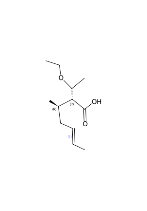 C/C=C/C[C@@H](C)[C@@H](C(=O)O)C(C)OCC